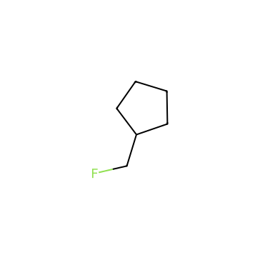 FCC1CCCC1